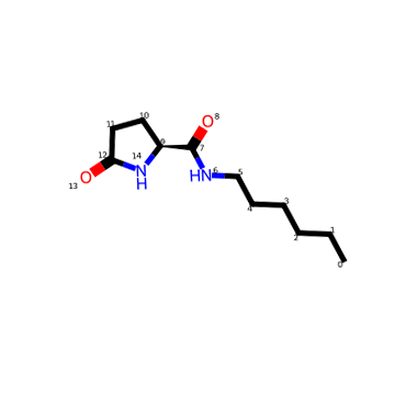 CCCCCCNC(=O)[C@@H]1CCC(=O)N1